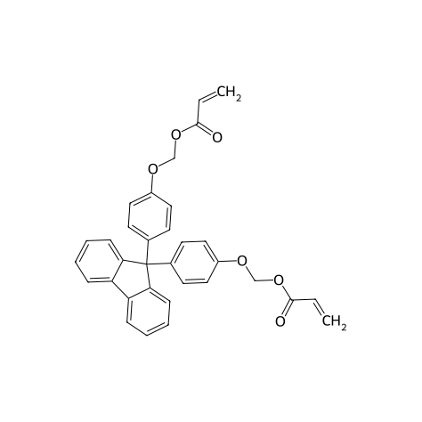 C=CC(=O)OCOc1ccc(C2(c3ccc(OCOC(=O)C=C)cc3)c3ccccc3-c3ccccc32)cc1